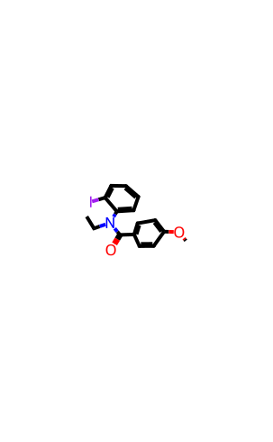 CCN(C(=O)c1ccc(OC)cc1)c1ccccc1I